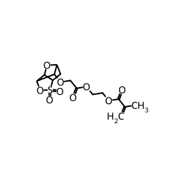 C=C(C)C(=O)OCCOC(=O)COC1C2CC3C(O2)C1OS3(=O)=O